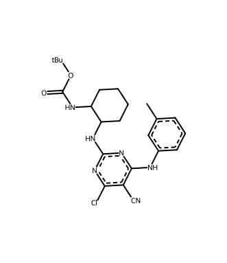 Cc1cccc(Nc2nc(NC3CCCCC3NC(=O)OC(C)(C)C)nc(Cl)c2C#N)c1